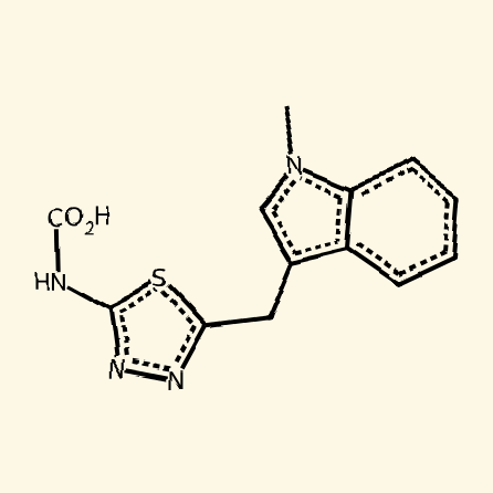 Cn1cc(Cc2nnc(NC(=O)O)s2)c2ccccc21